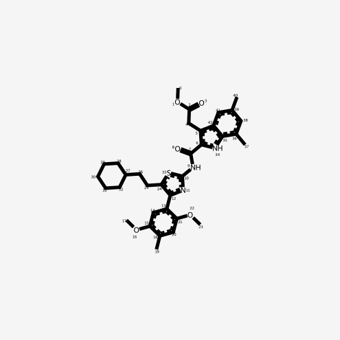 COC(=O)Cc1c(C(=O)Nc2nc(-c3cc(OC)c(C)cc3OC)c(CCC3CCCCC3)s2)[nH]c2c(C)cc(C)cc12